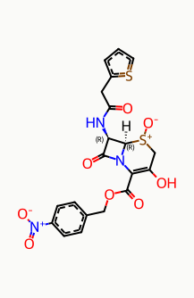 O=C(Cc1cccs1)N[C@@H]1C(=O)N2C(C(=O)OCc3ccc([N+](=O)[O-])cc3)=C(O)C[S+]([O-])[C@H]12